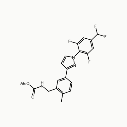 COC(=O)NCc1cc(-c2ccn(-c3c(F)cc(C(F)F)cc3F)n2)ccc1C